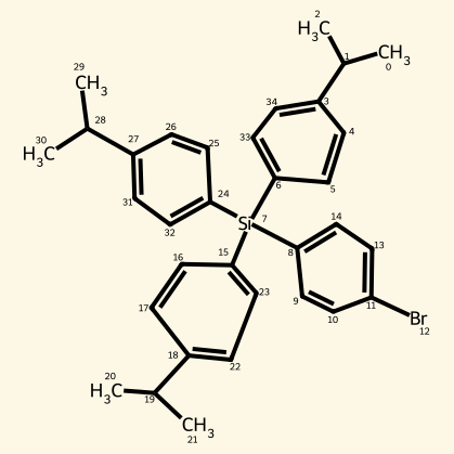 CC(C)c1ccc([Si](c2ccc(Br)cc2)(c2ccc(C(C)C)cc2)c2ccc(C(C)C)cc2)cc1